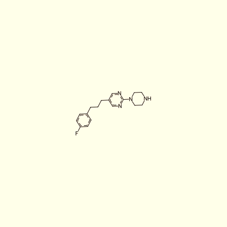 Fc1ccc(CCCc2cnc(N3CCNCC3)nc2)cc1